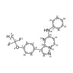 CC(F)(F)Oc1ccc(-c2cnn3ccc(Nc4ccccc4)nc23)cc1